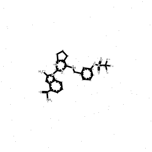 Cc1cc2c(C(N)=O)cccc2n1-c1nc2c(c(NCc3cccc(OS(=O)(=O)C(F)(F)F)c3)n1)CCC2